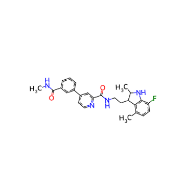 CNC(=O)c1cccc(-c2ccnc(C(=O)NCCC3c4c(C)ccc(F)c4NC3C)c2)c1